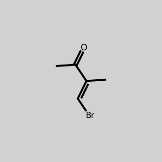 CC(=O)C(C)=CBr